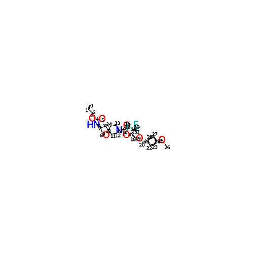 C=CCOC(=O)NC1COC2(CCN(C(=O)O[C@H](COCc3ccc(OC)cc3)C(F)(F)F)CC2)C1